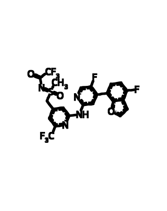 CS(=O)(Cc1cc(Nc2cc(-c3ccc(F)c4ccoc34)c(F)cn2)nc(C(F)(F)F)c1)=NC(=O)C(F)(F)F